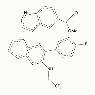 COC(=O)c1ccc2ncccc2c1.Fc1ccc(-c2nc3ccccc3cc2NCC(F)(F)F)cc1